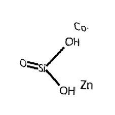 O=[Si](O)O.[Co].[Zn]